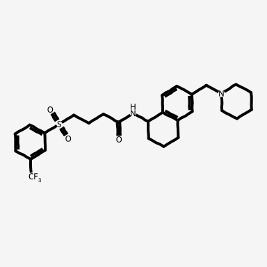 O=C(CCCS(=O)(=O)c1cccc(C(F)(F)F)c1)NC1CCCc2cc(CN3CCCCC3)ccc21